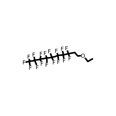 CCOCCC(F)(F)C(F)(F)C(F)(F)C(F)(F)C(F)(F)C(F)(F)C(F)(F)C(F)(F)F